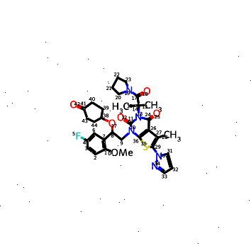 COc1ccc(F)cc1C(Cn1c(=O)n(C(C)(C)C(=O)N2CCCC2)c(=O)c2c(C)c(-n3cccn3)sc21)OC1CCC(=O)CC1